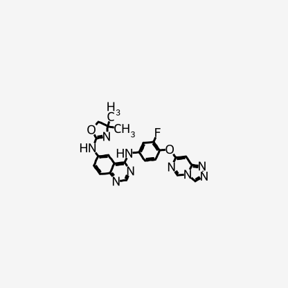 CC1(C)COC(Nc2ccc3ncnc(Nc4ccc(Oc5cc6nncn6cn5)c(F)c4)c3c2)=N1